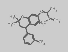 CC(Oc1ccc2c(c1)OC(C)(C)CC2c1cccc(C(F)(F)F)c1)N(C)C